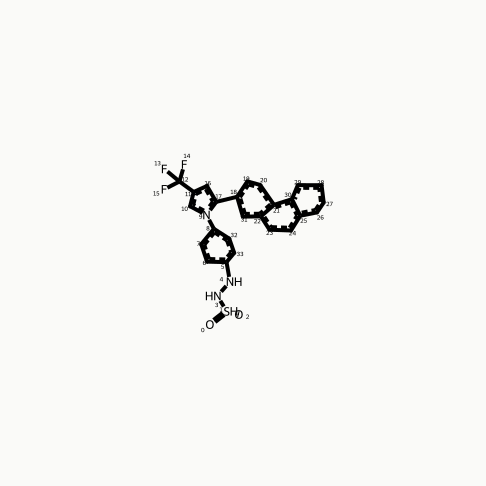 O=[SH](=O)NNc1ccc(-n2cc(C(F)(F)F)cc2-c2ccc3c(ccc4ccccc43)c2)cc1